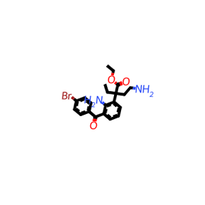 CCOC(=O)C(CC)(CCN)c1cccc(C(=O)c2ccc(Br)cc2)c1N